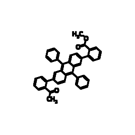 COC(=O)c1ccccc1-c1ccc2c(-c3ccccc3)c3cc(-c4ccccc4C(C)=O)ccc3c(-c3ccccc3)c2c1